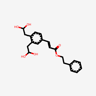 O=C(/C=C/c1ccc(CC(O)O)c(CC(O)O)c1)OCCc1ccccc1